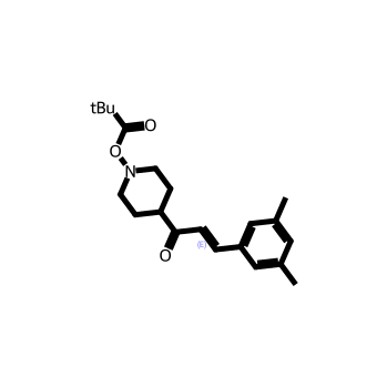 Cc1cc(C)cc(/C=C/C(=O)C2CCN(OC(=O)C(C)(C)C)CC2)c1